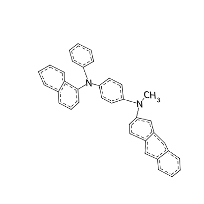 CN(c1ccc(N(c2ccccc2)c2cccc3ccccc23)cc1)c1ccc2cc3ccccc3cc2c1